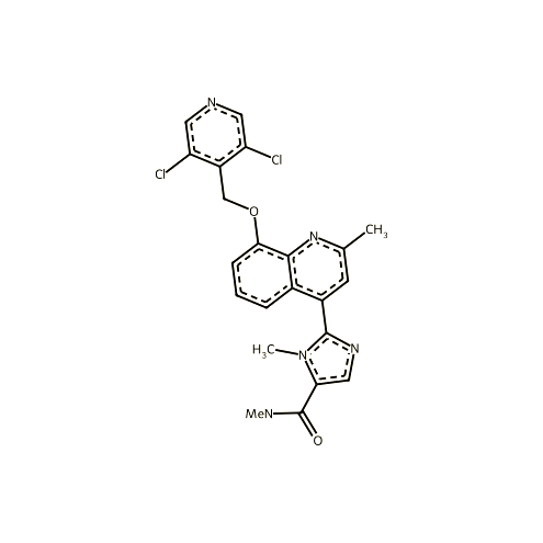 CNC(=O)c1cnc(-c2cc(C)nc3c(OCc4c(Cl)cncc4Cl)cccc23)n1C